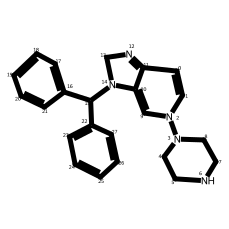 C1=CN(N2CCNCC2)C=C2C1=NCN2C(c1ccccc1)c1ccccc1